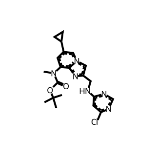 CN(C(=O)OC(C)(C)C)c1cc(C2CC2)cn2cc(CNc3cc(Cl)ncn3)nc12